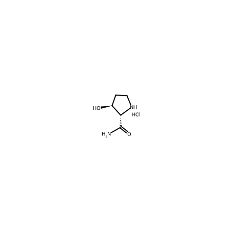 Cl.NC(=O)[C@H]1NCC[C@@H]1O